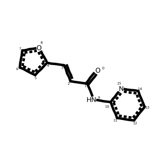 O=C(C=Cc1ccco1)Nc1ccccn1